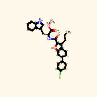 CCCc1c(C(=O)N[C@@H](Cc2c[nH]c3ccccc23)C(=O)OC)oc2cc(-c3ccc(Cl)cc3)ccc12